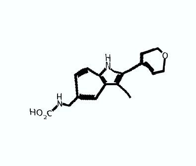 Cc1c(C2=CCOCC2)[nH]c2ccc(CNC(=O)O)cc12